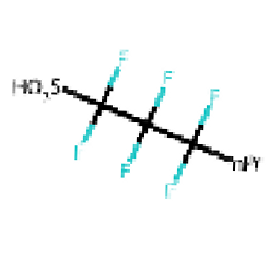 CCCC(F)(F)C(F)(F)C(F)(F)S(=O)(=O)O